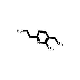 CCCc1ccc(CC)c(C)n1